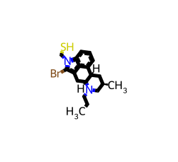 CCCN1C[C@H](C)C[C@@H]2c3cccc4c3c(c(Br)n4CS)C[C@H]21